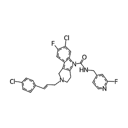 O=C(NCc1ccnc(F)c1)n1c2c(c3cc(F)c(Cl)cc31)CN(C/C=C/c1ccc(Cl)cc1)CC2